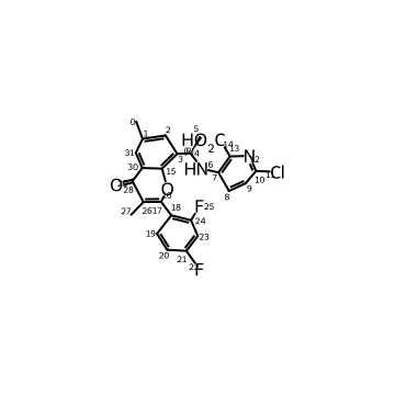 Cc1cc([C@@H](C)Nc2ccc(Cl)nc2C(=O)O)c2oc(-c3ccc(F)cc3F)c(C)c(=O)c2c1